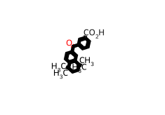 CC1(C)CCC(C)(C)c2cc(C(=O)c3cccc(C(=O)O)c3)ccc21